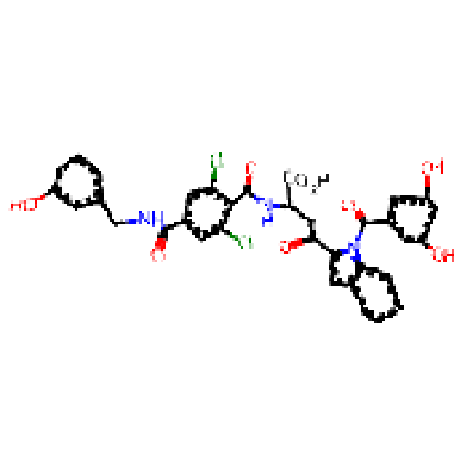 O=C(NCc1cccc(O)c1)c1cc(Cl)c(C(=O)NC(CC(=O)c2cc3ccccc3n2C(=O)c2cc(O)cc(O)c2)C(=O)O)c(Cl)c1